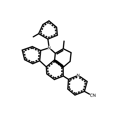 CC1=C(N(c2ccccc2C)c2ccccc2-c2ccc(-c3ccc(C#N)cn3)cc2)C=CCC1